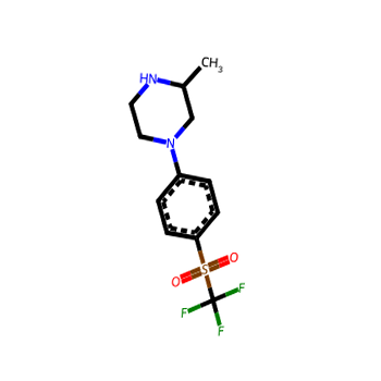 CC1CN(c2ccc(S(=O)(=O)C(F)(F)F)cc2)CCN1